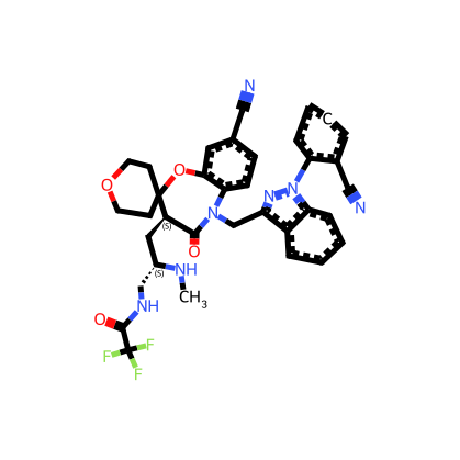 CN[C@H](CNC(=O)C(F)(F)F)C[C@@H]1C(=O)N(Cc2nn(-c3ccccc3C#N)c3ccccc23)c2ccc(C#N)cc2OC12CCOCC2